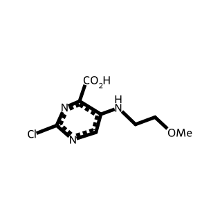 COCCNc1cnc(Cl)nc1C(=O)O